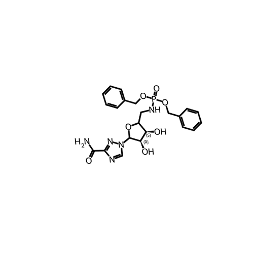 NC(=O)c1ncn(C2OC(CNP(=O)(OCc3ccccc3)OCc3ccccc3)[C@@H](O)[C@H]2O)n1